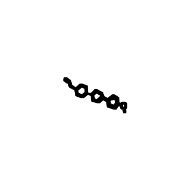 C=CC[C@H]1CC[C@H](C2CC=C(c3ccc(OC)cc3)CC2)CC1